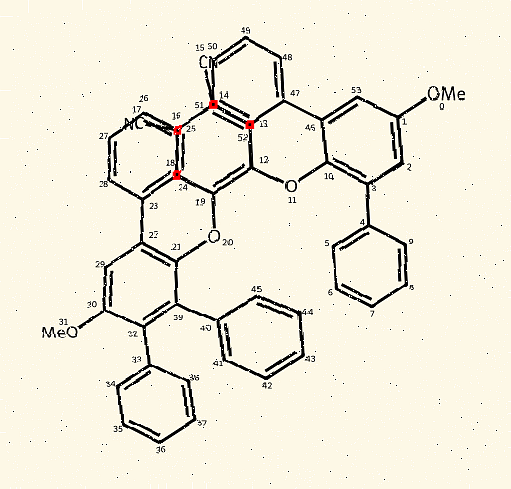 COc1cc(-c2ccccc2)c(Oc2cc(C#N)c(C#N)cc2Oc2c(-c3ccccc3)cc(OC)c(-c3ccccc3)c2-c2ccccc2)c(-c2ccccc2)c1